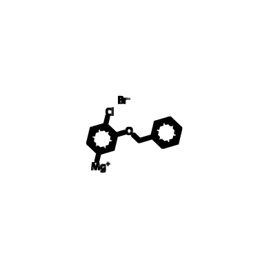 [Br-].[Mg+][c]1ccc(Cl)c(OCc2ccccc2)c1